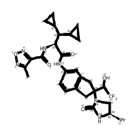 Cc1nonc1C(=O)N[C@H](C(=O)Nc1ccc2c(c1)CC(C(O)C(F)(F)F)(N1C[C@@H](C(C)C)NC1=O)C2)C(C1CC1)C1CC1